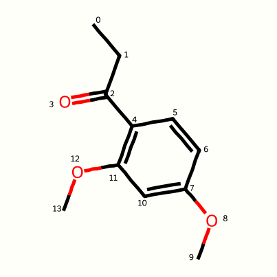 CCC(=O)c1ccc(OC)cc1OC